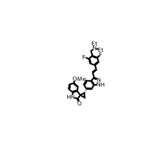 CCN(CC)Cc1c(F)cc(/C=C/c2n[nH]c3cc([C@@H]4CC45C(=O)Nc4ccc(OC)cc45)ccc23)cc1F